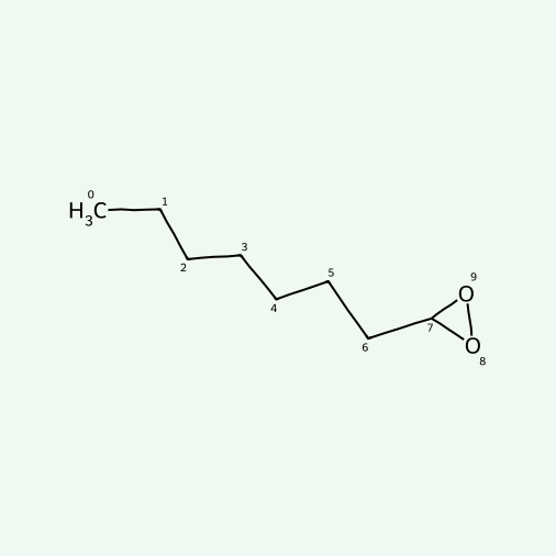 CCCCCCCC1OO1